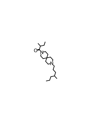 CCCC(C)CCCN1CCC2(CC1)CCN(C(=O)C(C)CC)CC2